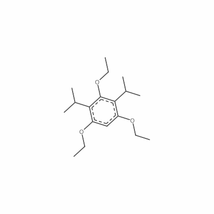 CCOc1cc(OCC)c(C(C)C)c(OCC)c1C(C)C